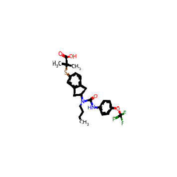 CCCCN(C(=O)Nc1ccc(OC(F)(F)F)cc1)C1Cc2ccc(SC(C)(C)C(=O)O)cc2C1